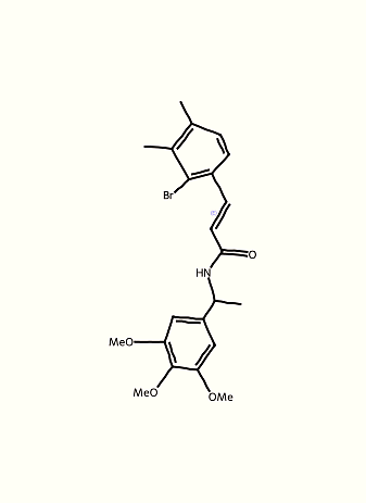 COc1cc(C(C)NC(=O)/C=C/c2ccc(C)c(C)c2Br)cc(OC)c1OC